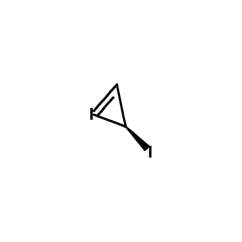 I[C@@H]1C=I1